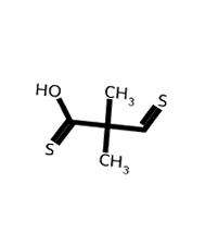 CC(C)(C=S)C(O)=S